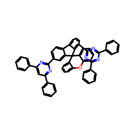 c1ccc(-c2cc(-c3ccccc3)nc(-c3ccc4c(c3)C3(c5ccccc5Oc5ccccc53)c3c(-c5nc(-c6ccccc6)nc(-c6ccccc6)n5)cccc3-4)n2)cc1